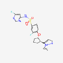 Cn1nccc1[C@H]1CCC[C@@H]1Oc1ccc(S(=O)(=O)Nc2cc(F)ncn2)cc1F